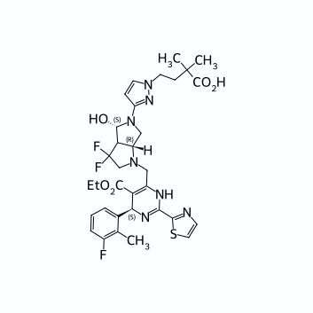 CCOC(=O)C1=C(CN2CC(F)(F)C3[C@@H]2CN(c2ccn(CCC(C)(C)C(=O)O)n2)[C@H]3O)NC(c2nccs2)=N[C@H]1c1cccc(F)c1C